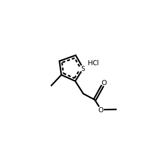 COC(=O)Cc1sccc1C.Cl